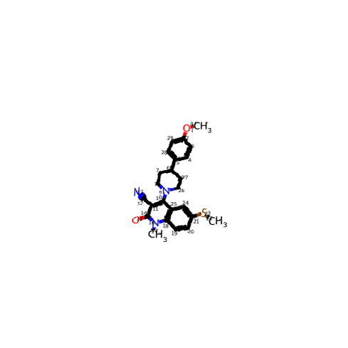 COc1ccc(C2CCN(c3c(C#N)c(=O)n(C)c4ccc(SC)cc34)CC2)cc1